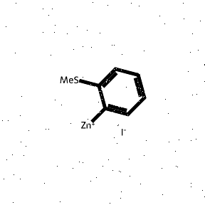 CSc1cccc[c]1[Zn+].[I-]